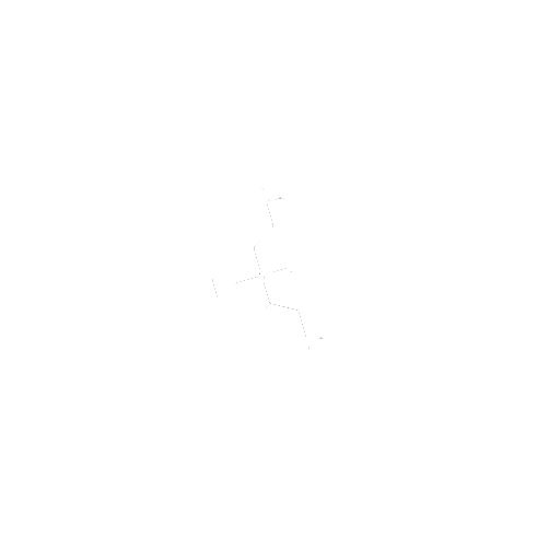 CCCCCCCCCCCC[N+](C)(C)CCCCCCCCCCCC.O=C([O-])O